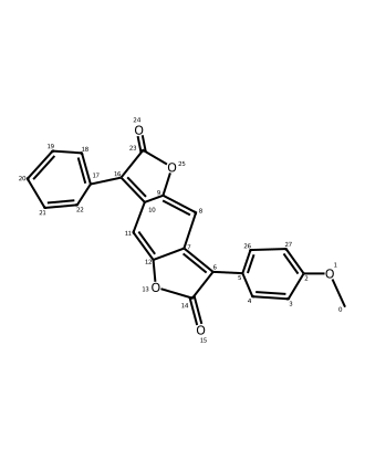 COc1ccc(C2=c3cc4c(cc3OC2=O)=C(c2ccccc2)C(=O)O4)cc1